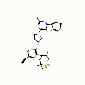 C#Cc1cnc(O[C@H]2C[C@@H](C(=O)O)N(c3nc(C(F)F)nc4c3oc3ccccc34)C2)c([C@]2(F)CC(C)(C)S(=O)(=O)C[C@@H]2C)c1